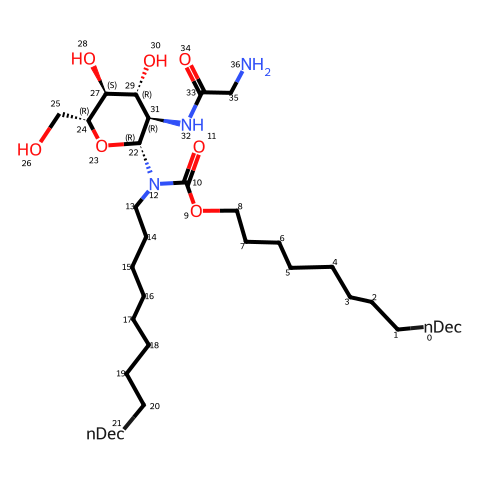 CCCCCCCCCCCCCCCCCCOC(=O)N(CCCCCCCCCCCCCCCCCC)[C@@H]1O[C@H](CO)[C@@H](O)[C@H](O)[C@H]1NC(=O)CN